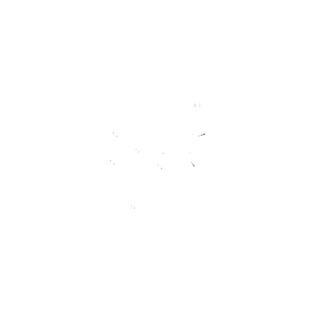 Cc1nc(NCCOC(C)C)nc(N[C@@H]2C[C@H](CO)[C@@H](C)[C@H]2C)c1C1=NC2C=CC=CC2S1